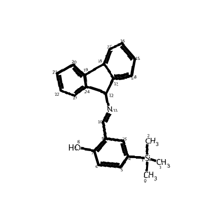 C[Si](C)(C)c1ccc(O)c(C=NC2c3ccccc3-c3ccccc32)c1